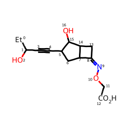 CCC(O)C#CC1CC2C(=NOCC(=O)O)CC2C1O